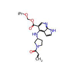 C=CC(=O)N1CC[C@H](Nc2c(C(=O)OCOC(C)C)cnc3[nH]ccc23)C1